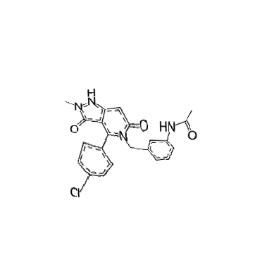 CC(=O)Nc1cccc(Cn2c(-c3ccc(Cl)cc3)c3c(=O)n(C)[nH]c3cc2=O)c1